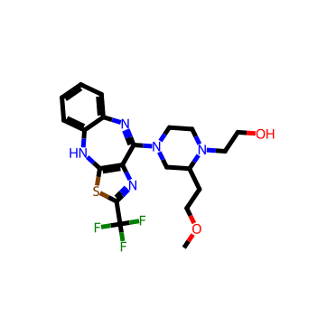 COCCC1CN(C2=Nc3ccccc3Nc3sc(C(F)(F)F)nc32)CCN1CCO